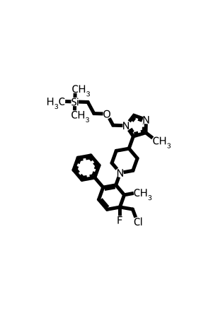 Cc1ncn(COCC[Si](C)(C)C)c1C1CCN(C2=C(c3ccccc3)C=CC(F)(CCl)C2C)CC1